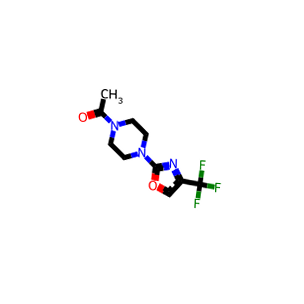 CC(=O)N1CCN(c2nc(C(F)(F)F)co2)CC1